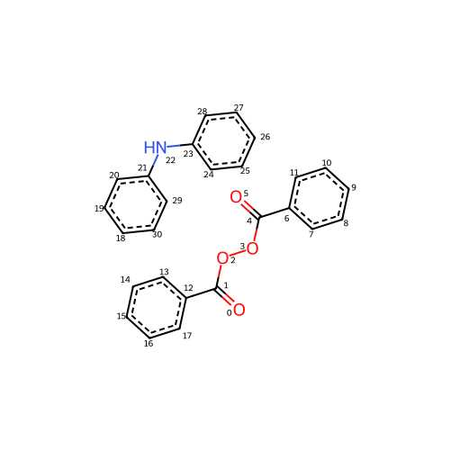 O=C(OOC(=O)c1ccccc1)c1ccccc1.c1ccc(Nc2ccccc2)cc1